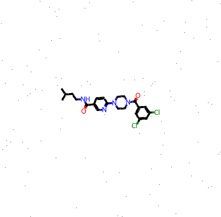 CC(C)CCNC(=O)c1ccc(N2CCN(C(=O)c3cc(Cl)cc(Cl)c3)CC2)nc1